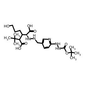 CC(C)(C)OC(=O)NNc1ccc(CNN[C@H](C(=O)O)C(CCCO)C(C(=O)O)C(C)(C)C)cn1